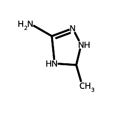 CC1NN=C(N)N1